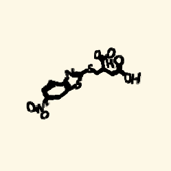 O=C(O)CC(CSc1nc2ccc([N+](=O)[O-])cc2s1)C(=O)O